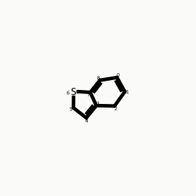 C1=CCC2=CCSC2=C1